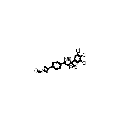 O=CN1CC(c2ccc(C3=NOC(c4cc(Cl)c(Cl)c(Cl)c4)(C(F)(F)F)C3)cc2)C1